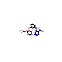 NC(=O)c1cnc(N[C@H]2CC[C@@H](OCC(F)(F)F)CC2)nc1NC1=CCC[C@H](O)C1